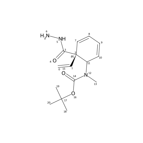 C=C[C@@]1(C(=O)NN)C=CC=CC1N(C)C(=O)OC(C)(C)C